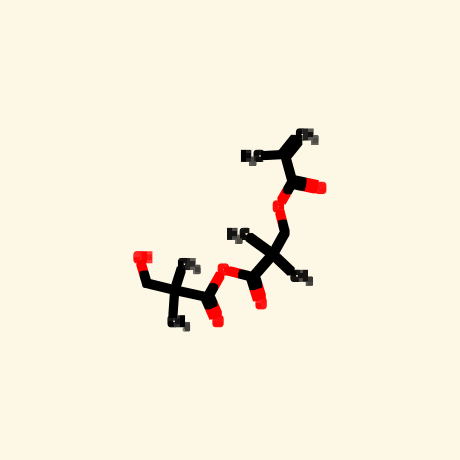 C=C(C)C(=O)OCC(C)(C)C(=O)OC(=O)C(C)(C)CO